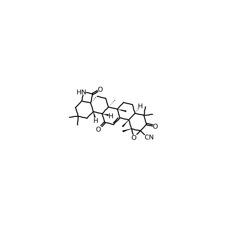 CC1(C)CC2NC(=O)[C@]23CC[C@]2(C)[C@H](C(=O)C=C4[C@@]2(C)CC[C@H]2C(C)(C)C(=O)C5(C#N)O[C@]5(C)[C@]42C)[C@@H]3C1